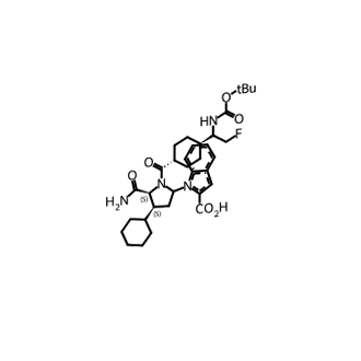 CC(C)(C)OC(=O)NC(CF)[C@H]1CC[C@H](C(=O)N2C(n3c(C(=O)O)cc4ccccc43)C[C@@H](C3CCCCC3)[C@H]2C(N)=O)CC1